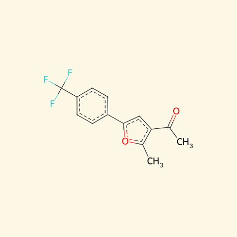 CC(=O)c1cc(-c2ccc(C(F)(F)F)cc2)oc1C